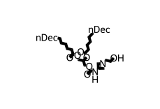 CCCCCCCCCCCCCCCC(=O)OCC(COC(=O)NC1CN(CCO)C1)OC(=O)CCCCCCCCCCCCCCC